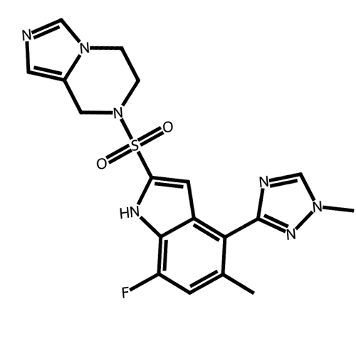 Cc1cc(F)c2[nH]c(S(=O)(=O)N3CCn4cncc4C3)cc2c1-c1ncn(C)n1